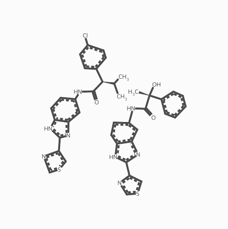 CC(C)[C@@H](C(=O)Nc1ccc2[nH]c(-c3cscn3)nc2c1)c1ccc(Cl)cc1.C[C@](O)(C(=O)Nc1ccc2[nH]c(-c3cscn3)nc2c1)c1ccccc1